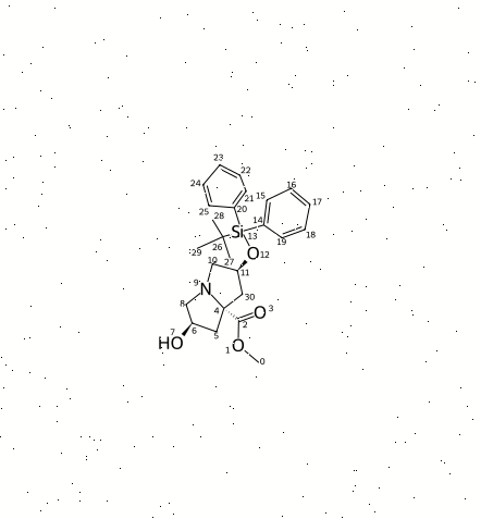 COC(=O)[C@]12C[C@@H](O)CN1C[C@@H](O[Si](c1ccccc1)(c1ccccc1)C(C)(C)C)C2